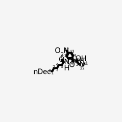 CCCCCCCCCCCCCCCC(=O)Nc1cc([N+](=O)[O-])ccc1/[P+]([O-])=C(\O)C[N+](C)(C)C